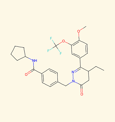 CCC1CC(=O)N(Cc2ccc(C(=O)NC3CCCC3)cc2)N=C1c1ccc(OC)c(OC(F)(F)F)c1